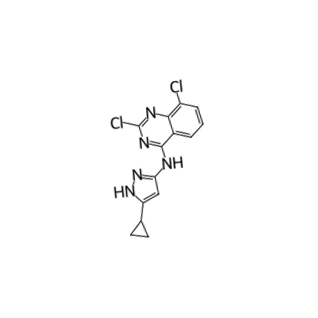 Clc1nc(Nc2cc(C3CC3)[nH]n2)c2cccc(Cl)c2n1